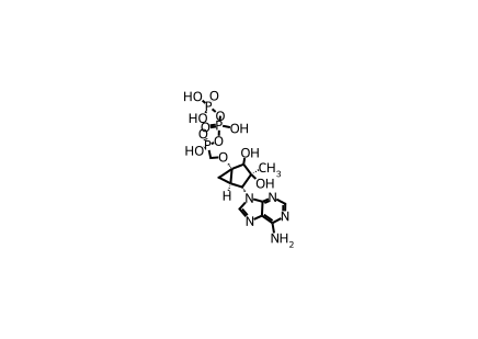 C[C@@]1(O)C(O)[C@]2(OCP(=O)(O)OP(=O)(O)OP(=O)(O)O)C[C@@H]2[C@H]1n1cnc2c(N)ncnc21